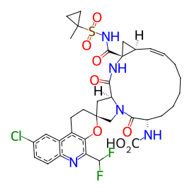 CC1(S(=O)(=O)NC(=O)[C@@]23C[C@H]2/C=C\CCCCC[C@H](NC(=O)O)C(=O)N2C[C@@]4(CCc5c(c(C(F)F)nc6ccc(Cl)cc56)O4)C[C@H]2C(=O)N3)CC1